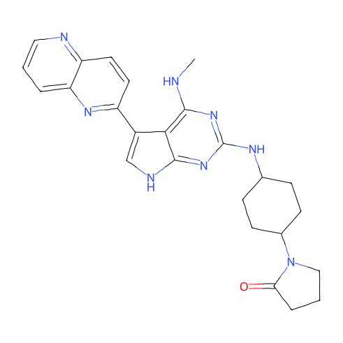 CNc1nc(NC2CCC(N3CCCC3=O)CC2)nc2[nH]cc(-c3ccc4ncccc4n3)c12